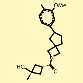 COc1cc(C2CCC3(C2)CN(C(=O)[C@H]2C[C@@](C)(O)C2)C3)ccc1C